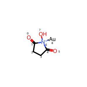 O=C1CCC(=O)[N+]1(O)[Au]